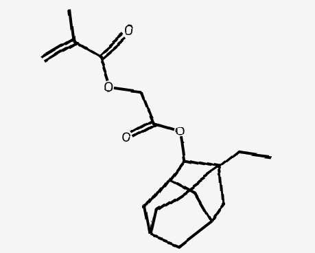 C=C(C)C(=O)OCC(=O)OC1C2CC3CC(C2)CC1(CC)C3